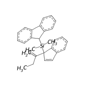 C=C(CC)C1([Si](C)(C)C2c3ccccc3-c3ccccc32)C=Cc2ccccc21